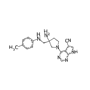 Cc1ccc(NCC2(N)CCN(c3ncnc4[nH]cc(C#N)c34)C2)cc1